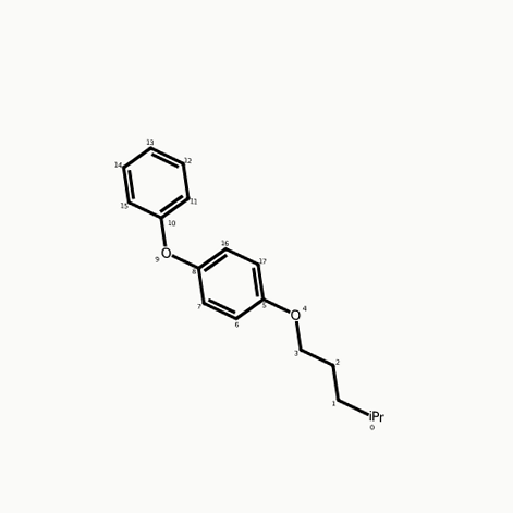 CC(C)CCCOc1ccc(Oc2ccccc2)cc1